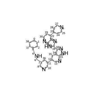 c1ccc(CNCc2cncc(-c3cnc4[nH]nc(-c5nc6c(-c7ccncc7)ccnc6[nH]5)c4c3)c2)cc1